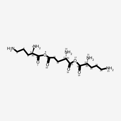 NCCC[C@@H](N)C(=O)OC(=O)CC[C@H](N)C(=O)OC(=O)[C@H](N)CCCN